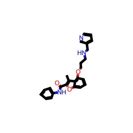 Cc1c(C(=O)Nc2ccccc2)oc2cccc(OCCCNCc3cccnc3)c12